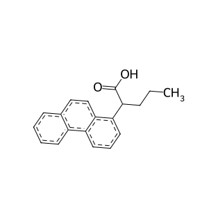 CCCC(C(=O)O)c1cccc2c1ccc1ccccc12